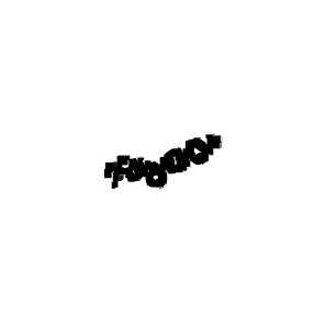 O=C(Cn1ccc(C(F)(F)F)n1)N1CCN(c2ccc(F)cc2)CC1